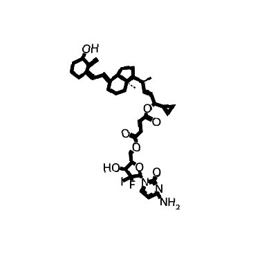 C=C1/C(=C\C=C2/CCC[C@@]3(C)C2CCC3[C@@H](C)/C=C/C(OC(=O)CCC(=O)OCC2OC(n3ccc(N)nc3=O)C(F)(I)C2O)C2CC2)CCCC1O